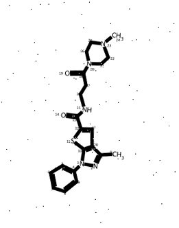 Cc1nn(-c2ccccc2)c2sc(C(=O)NCCC(=O)N3CCN(C)CC3)cc12